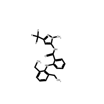 CCc1cccc(CC)c1Nc1ccccc1C(=O)Nc1cc(C(F)(F)F)nn1C